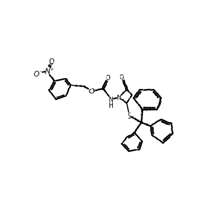 O=C(NN1C(=O)CC1SC(c1ccccc1)(c1ccccc1)c1ccccc1)OCc1cccc([N+](=O)[O-])c1